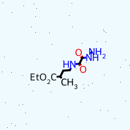 CCOC(=O)C(C)CCNC(=O)C(=O)NN